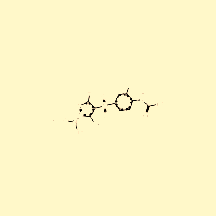 CCc1nn(N(C(=O)O)C(C)C)c(CC)c1S(=O)(=O)c1ccc(NC(=O)C(C)(C)C)c(Cl)c1